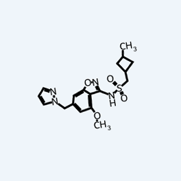 COc1cc(Cn2cccn2)cc2onc(NS(=O)(=O)CC3CC(C)C3)c12